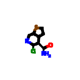 NC(=O)c1c(Cl)ncc2sccc12